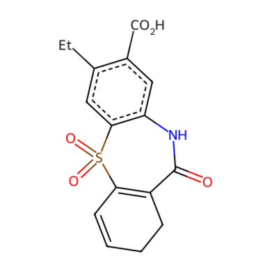 CCc1cc2c(cc1C(=O)O)NC(=O)C1=C(C=CCC1)S2(=O)=O